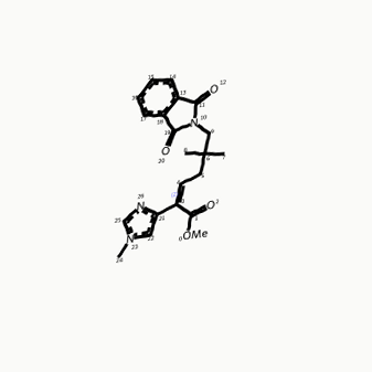 COC(=O)/C(=C\CC(C)(C)CN1C(=O)c2ccccc2C1=O)c1cn(C)cn1